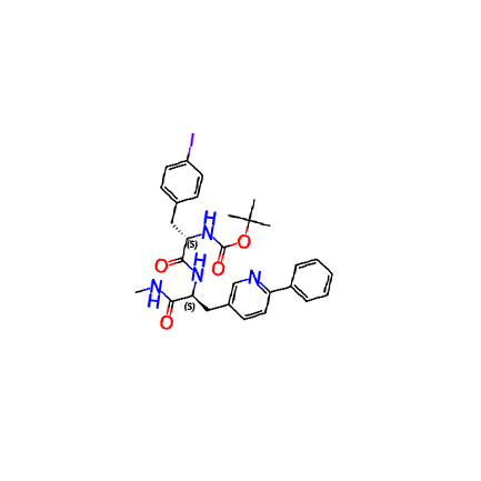 CNC(=O)[C@H](Cc1ccc(-c2ccccc2)nc1)NC(=O)[C@H](Cc1ccc(I)cc1)NC(=O)OC(C)(C)C